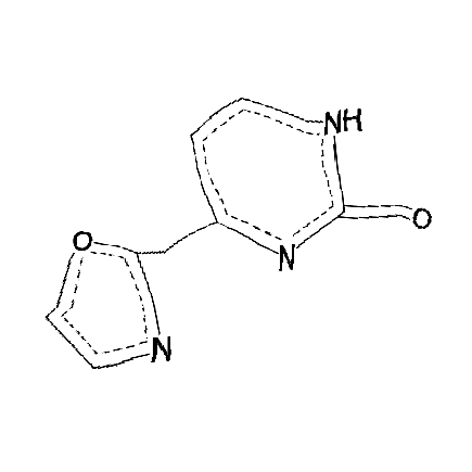 O=c1nc(-c2ncco2)cc[nH]1